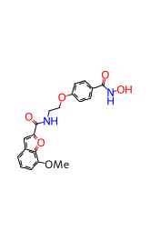 COc1cccc2cc(C(=O)NCCOc3ccc(C(=O)NO)cc3)oc12